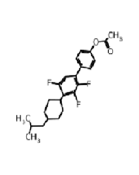 CC(=O)Oc1ccc(-c2cc(F)c(C3CCC(CC(C)C)CC3)c(F)c2F)cc1